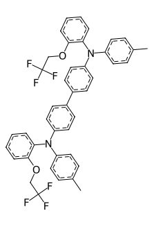 Cc1ccc(N(c2ccc(-c3ccc(N(c4ccc(C)cc4)c4ccccc4OCC(F)(F)F)cc3)cc2)c2ccccc2OCC(F)(F)F)cc1